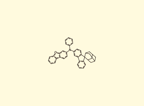 c1ccc(N(c2ccc3c(c2)-c2ccccc2C32C3CC4CC(C3)CC2C4)c2ccc3c(c2)oc2ccccc23)cc1